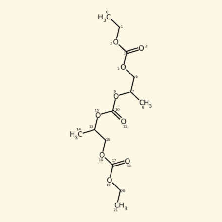 CCOC(=O)OCC(C)OC(=O)OC(C)COC(=O)OCC